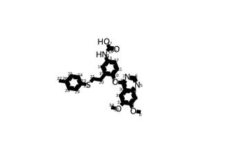 COc1cc2ncnc(Oc3ccc(NC(=O)O)cc3CCSc3ccc(C)cc3)c2cc1OC